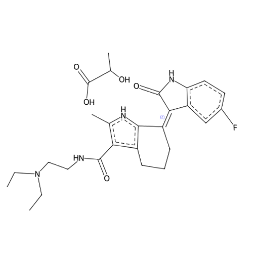 CC(O)C(=O)O.CCN(CC)CCNC(=O)c1c(C)[nH]c2c1CCC/C2=C1/C(=O)Nc2ccc(F)cc21